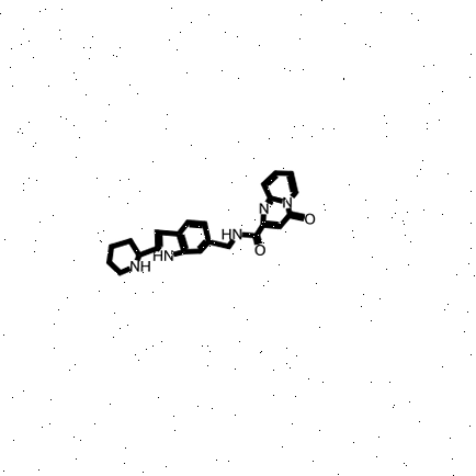 O=C(NCc1ccc2cc(C3CCCCN3)[nH]c2c1)c1cc(=O)n2ccccc2n1